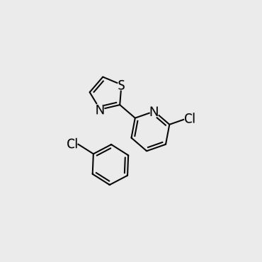 Clc1cccc(-c2nccs2)n1.Clc1ccccc1